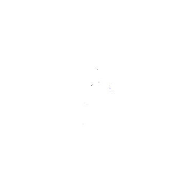 CC(C)(C)OC(=O)N1CCC[C@@H](N)[C@H]1Cc1csc(-c2ccccc2)n1